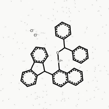 [Cl-].[Cl-].c1ccc(C([O][Ti+2][c]2c(C3c4ccccc4-c4ccccc43)ccc3ccccc23)c2ccccc2)cc1